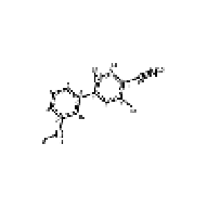 COc1cccc(-c2cc(C)c(C#N)nn2)c1